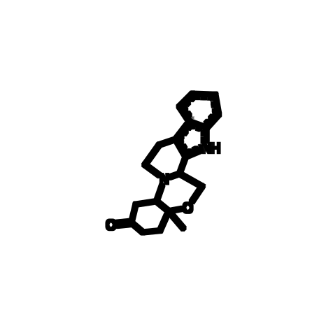 CC12CCC(=O)CC1N1CCc3c([nH]c4ccccc34)C1CO2